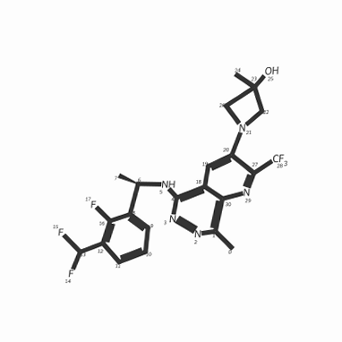 Cc1nnc(N[C@H](C)c2cccc(C(F)F)c2F)c2cc(N3CC(C)(O)C3)c(C(F)(F)F)nc12